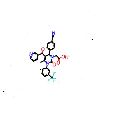 CC1=C(C(=O)c2cccnc2)C(c2ccc(C#N)cc2)N(CC(=O)O)C(=O)N1c1cccc(C(F)(F)F)c1